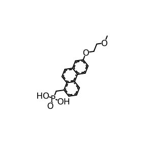 COCCOc1ccc2c(ccc3c(CP(=O)(O)O)cccc32)c1